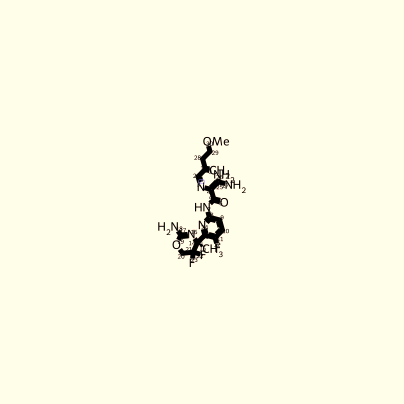 C=C(/C=N\C(C(=O)Nc1ccc(F)c([C@@]2(C)N=C(N)OCC2(F)F)n1)=C(N)N)CCOC